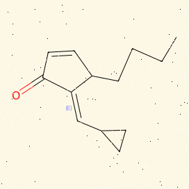 CCCCC1C=CC(=O)/C1=C/C1CC1